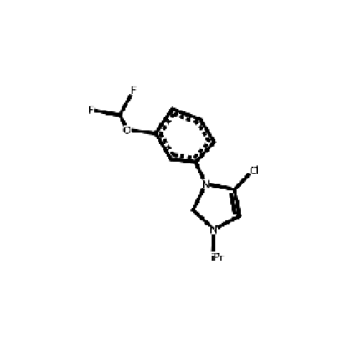 CC(C)N1C=C(Cl)N(c2cccc(OC(F)F)c2)C1